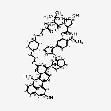 Cc1ncsc1-c1ccc([C@H](C)NC(=O)[C@@H]2C[C@@H](O)CN2C(=O)[C@@H](NC(=O)COCC2CCN(CCOc3nc(N4CC5CCC(C4)N5)c4cnc5c(c4n3)C(C)c3cccc4cc(O)cc-5c34)CC2)C(C)(C)C)cc1